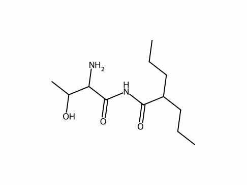 CCCC(CCC)C(=O)NC(=O)C(N)C(C)O